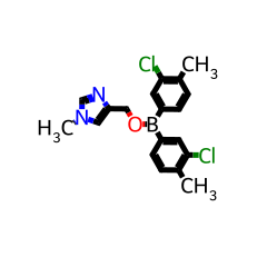 Cc1ccc(B(OCc2cn(C)cn2)c2ccc(C)c(Cl)c2)cc1Cl